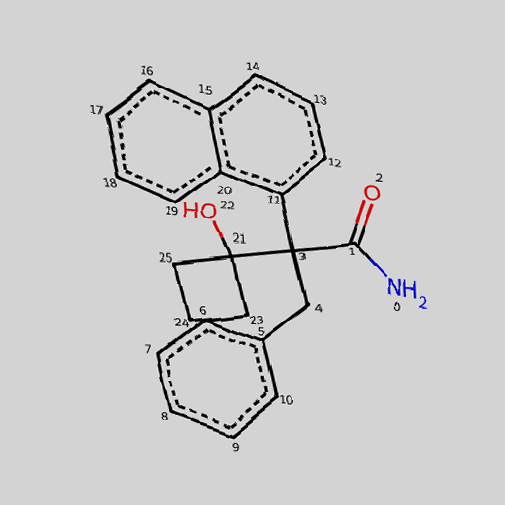 NC(=O)C(Cc1ccccc1)(c1cccc2ccccc12)C1(O)CCC1